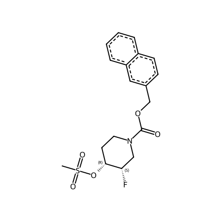 CS(=O)(=O)O[C@@H]1CCN(C(=O)OCc2ccc3ccccc3c2)C[C@@H]1F